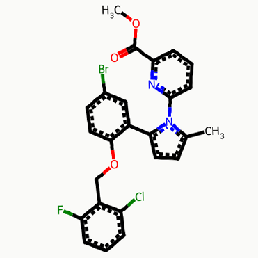 COC(=O)c1cccc(-n2c(C)ccc2-c2cc(Br)ccc2OCc2c(F)cccc2Cl)n1